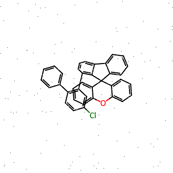 Clc1ccc(-c2ccccc2)c(-c2cccc3c2C2(c4ccccc4Oc4ccccc42)c2ccccc2-3)c1